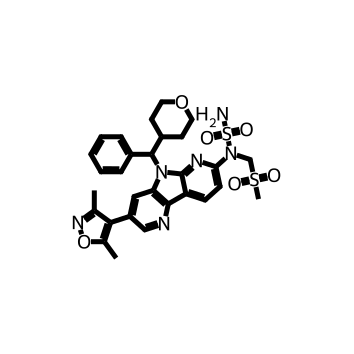 Cc1noc(C)c1-c1cnc2c3ccc(N(CS(C)(=O)=O)S(N)(=O)=O)nc3n(C(c3ccccc3)C3CCOCC3)c2c1